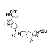 CCCNC(=O)c1n[nH]c2cc(C(=O)N3CCC4(CC3)CC(=O)c3nn(C(C)(C)C)cc3C4)ccc12